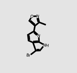 Cc1nocc1-c1ccc2c(Br)c[nH]c2n1